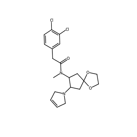 CN(C(=O)Cc1ccc(Cl)c(Cl)c1)C1CC2(CC1N1CC=CC1)OCCO2